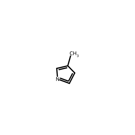 CC1=CN=C=C1